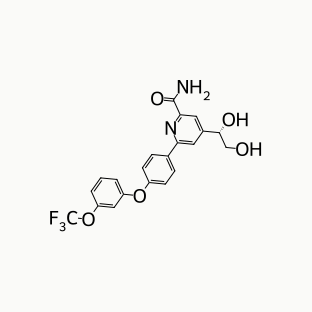 NC(=O)c1cc([C@H](O)CO)cc(-c2ccc(Oc3cccc(OC(F)(F)F)c3)cc2)n1